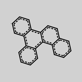 [c]1ccc2c(c1)c1ccccc1c1c3ccccc3ccc21